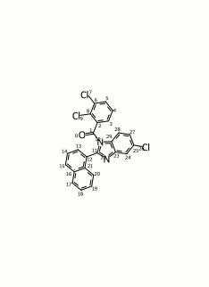 O=C(c1cccc(Cl)c1Cl)n1c(-c2cccc3ccccc23)nc2cc(Cl)ccc21